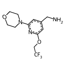 NCc1cc(OCC(F)(F)F)nc(N2CCOCC2)c1